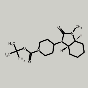 CN1C(=O)N(C2CCN(C(=O)OC(C)(C)C)CC2)[C@H]2CCCC[C@@H]21